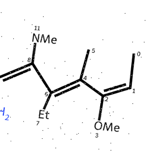 C\C=C(OC)/C(C)=C(CC)/C(=C\N)NC